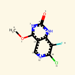 COc1nc(=O)[nH]c2c(F)c(Cl)ncc12